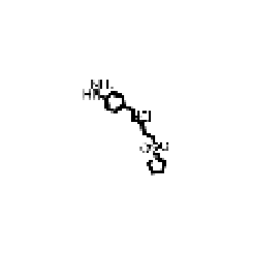 Cl.NNc1ccc(CCC=CCS(=O)(=O)N2CCCC2)cc1